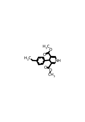 CCc1ccc(C2C(C(=O)OC)=CNC=C2C(=O)OC)cc1